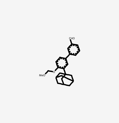 COCOc1ccc(-c2cccc(C=O)c2)cc1C12CC3CC(CC(C3)C1)C2